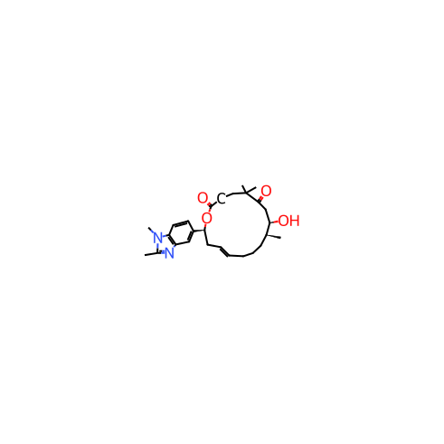 Cc1nc2cc([C@@H]3C/C=C/CCC[C@H](C)[C@H](O)CC(=O)C(C)(C)CCC(=O)O3)ccc2n1C